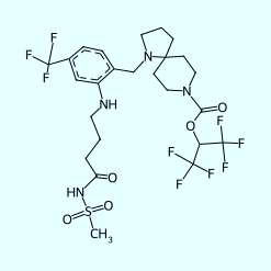 CS(=O)(=O)NC(=O)CCCNc1cc(C(F)(F)F)ccc1CN1CCCC12CCN(C(=O)OC(C(F)(F)F)C(F)(F)F)CC2